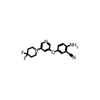 N#Cc1cc(Oc2cncc(N3CCC(F)(F)CC3)c2)ccc1N